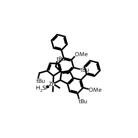 COc1c(C(C)(C)C)cc2c(c1-c1ccccc1)C=C(CC(C)(C)C)[CH]2[Zr]([CH3])([CH3])(=[SiH2])[CH]1C(CC(C)(C)C)=Cc2c1cc(C(C)(C)C)c(OC)c2-c1ccccc1